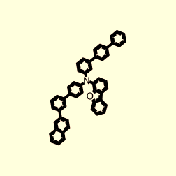 c1ccc(-c2ccc(-c3cccc(N(c4ccc(-c5cccc(-c6ccc7ccccc7c6)c5)cc4)c4cccc5c4oc4ccccc45)c3)cc2)cc1